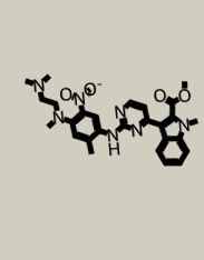 COC(=O)c1c(-c2ccnc(Nc3cc([N+](=O)[O-])c(N(C)CCN(C)C)cc3C)n2)c2ccccc2n1C